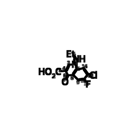 CCNn1cc(C(=O)O)c(=O)c2cc(F)c(Cl)cc21